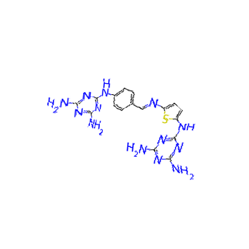 Nc1nc(N)nc(Nc2ccc(/C=N/c3ccc(Nc4nc(N)nc(N)n4)s3)cc2)n1